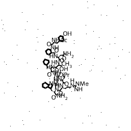 CNC(=N)NCCC[C@H](NC(=O)[C@H](CC(C)C)NC(=O)NNC(=O)[C@H](Cc1ccccc1)NC(=O)[C@@H](NC(=O)[C@H](CC(N)=O)NC(=O)c1ccccc1NC(=O)[C@@H](Cc1ccc(O)cc1)NC(C)=O)[C@@H](C)O)C(=O)N[C@@H](Cc1c[nH]c2ccccc12)C(N)=O